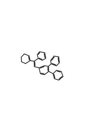 C1=C(C(=Cc2ccc(-c3ccccc3)c(-c3ccccc3)c2)c2ccccc2)CCCC1